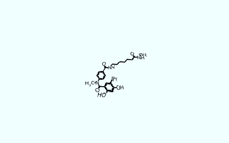 CC(C)c1cc(C(=O)N(C)c2ccc(C(=O)NCCCCCCC(=O)NO)cc2)c(O)cc1O